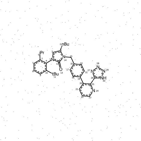 CCCCc1cn(-c2c(C(C)C)cccc2C(C)(C)C)c(=O)n1Cc1ccc(-c2cccnc2-c2nnn[nH]2)cc1